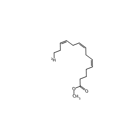 [2H]CC/C=C\C/C=C\C/C=C\CCCC(=O)OC